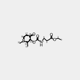 CCOC(=O)CCNC(=O)Oc1c(C)n(C)ccc1=O